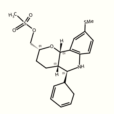 CSc1ccc2c(c1)[C@H]1O[C@@H](COS(C)(=O)=O)CC[C@H]1[C@H](C1C=CC=CC1)N2